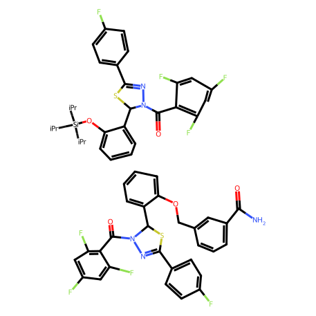 CC(C)[Si](Oc1ccccc1C1SC(c2ccc(F)cc2)=NN1C(=O)c1c(F)cc(F)cc1F)(C(C)C)C(C)C.NC(=O)c1cccc(COc2ccccc2C2SC(c3ccc(F)cc3)=NN2C(=O)c2c(F)cc(F)cc2F)c1